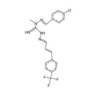 CN(N=Cc1ccc(Cl)cc1)C(=N)NN=CC=Cc1ccc(C(F)(F)F)cc1